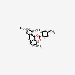 CC1=CCC(C(=O)Oc2c3ccc(C)cc3cc3ccc(C)cc23)C(C(=O)O)C1